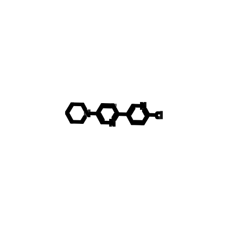 Clc1ccc(-c2[c]cc(N3CCCCC3)cn2)cn1